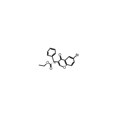 CCOC(=O)[C@H](c1ccccc1)c1coc2ccc(Br)cc2c1=O